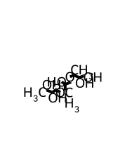 CC(O)C(O)COC(C)C(O)COC(C)C(O)CO